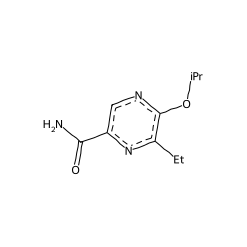 CCc1nc(C(N)=O)cnc1OC(C)C